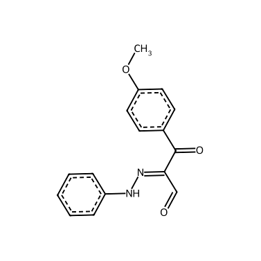 COc1ccc(C(=O)C(C=O)=NNc2ccccc2)cc1